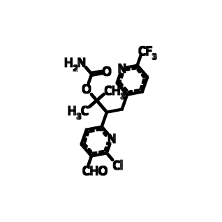 CC(C)(OC(N)=O)C(Cc1ccc(C(F)(F)F)nc1)c1ccc(C=O)c(Cl)n1